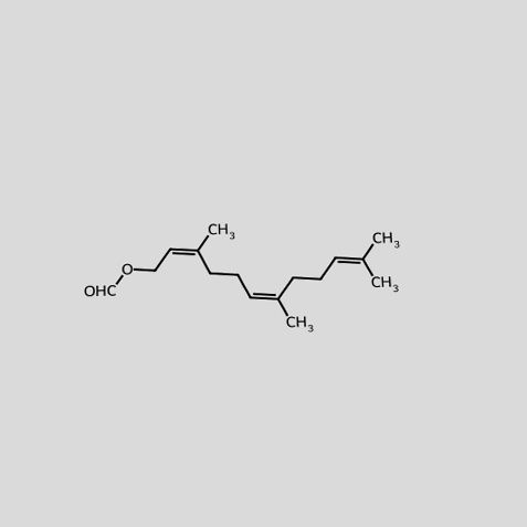 CC(C)=CCCC(C)=CCCC(C)=CCOC=O